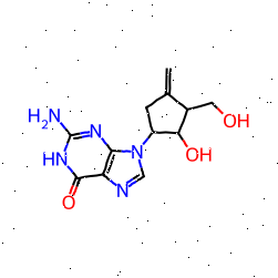 C=C1CC(n2cnc3c(=O)[nH]c(N)nc32)C(O)C1CO